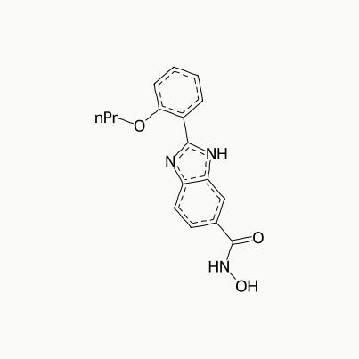 CCCOc1ccccc1-c1nc2ccc(C(=O)NO)cc2[nH]1